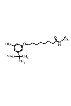 CCCCCCC(C)(C)c1cc(O)cc(OCCCCCCCC(=O)NC2CC2)c1